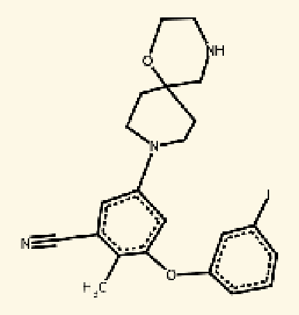 Cc1c(C#N)cc(N2CCC3(CC2)CNCCO3)cc1Oc1cccc(I)c1